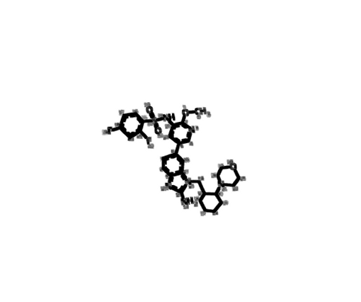 COc1ncc(-c2ccc3nc(N)n(CC4CCCCC4N4CCOCC4)c3c2)cc1NS(=O)(=O)c1ccc(F)cc1F